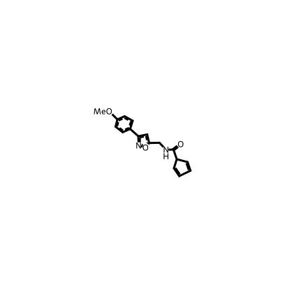 COc1ccc(-c2cc(CNC(=O)C3C=CC=C3)on2)cc1